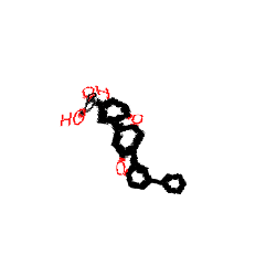 OB(O)c1ccc2oc3cc4c(cc3c2c1)oc1ccc(-c2ccccc2)cc14